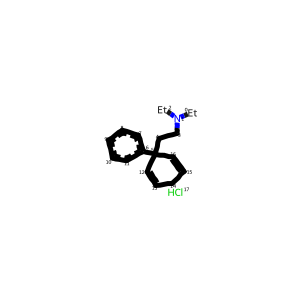 CCN(CC)CCC1(c2ccccc2)C=CCC=C1.Cl